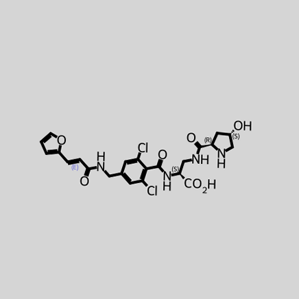 O=C(/C=C/c1ccco1)NCc1cc(Cl)c(C(=O)N[C@@H](CNC(=O)[C@H]2C[C@H](O)CN2)C(=O)O)c(Cl)c1